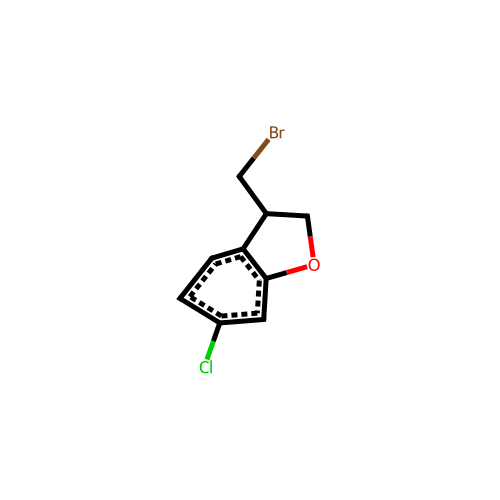 Clc1ccc2c(c1)OCC2CBr